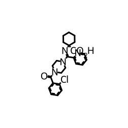 O=C(c1ccccc1Cl)N1CCN(C(=NC2(C(=O)O)CCCCC2)c2ccccn2)CC1